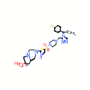 C[C@H](c1ccc(F)cc1)n1cnnc1CN1CCN(S(=O)(=O)c2cnc(N3CCN4C[C@H](O)CC4C3)s2)CC1